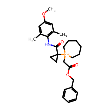 COc1cc(C)c(NC(=O)C2([PH]3(CC(=O)OCc4ccccc4)CCCCCC3)CC2)c(C)c1